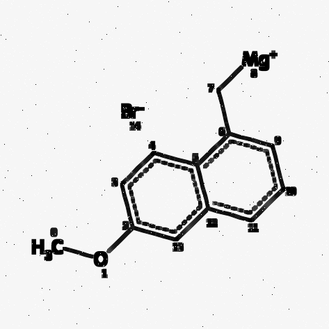 COc1ccc2c([CH2][Mg+])cccc2c1.[Br-]